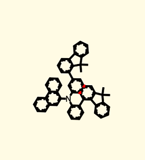 CC1(C)c2ccccc2-c2c(-c3ccccc3N(c3cccc(-c4cccc5c4C(C)(C)c4ccccc4-5)c3)c3cc4ccccc4c4ccccc34)cccc21